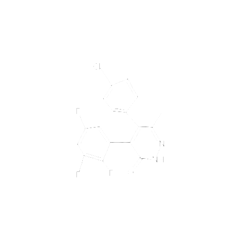 Cc1n[nH]c(=O)c(-c2cc(F)cc(F)c2F)c1-c1ccc(Cl)cc1